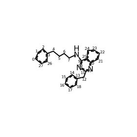 c1ccc(CCCCNc2nc(Cc3ccccc3)nc3ccccc23)cc1